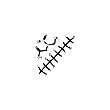 CCN(CC(=O)O)[SH](=O)=O.FC(F)(F)C(F)(F)C(F)(F)C(F)(F)C(F)(F)C(F)(F)C(F)(F)C(F)(F)F